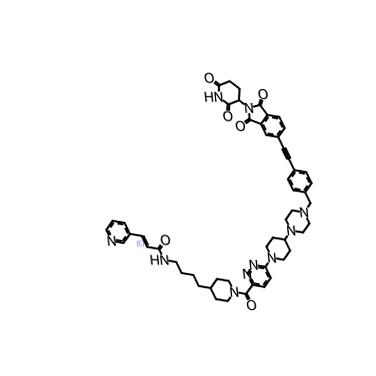 O=C(/C=C/c1cccnc1)NCCCCC1CCN(C(=O)c2ccc(N3CCC(N4CCN(Cc5ccc(C#Cc6ccc7c(c6)C(=O)N(C6CCC(=O)NC6=O)C7=O)cc5)CC4)CC3)nn2)CC1